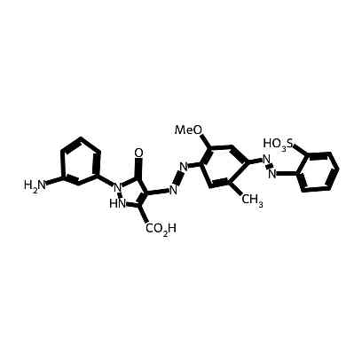 COc1cc(N=Nc2ccccc2S(=O)(=O)O)c(C)cc1N=Nc1c(C(=O)O)[nH]n(-c2cccc(N)c2)c1=O